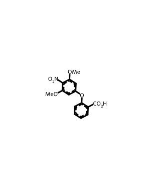 COc1cc(Oc2ccccc2C(=O)O)cc(OC)c1[N+](=O)[O-]